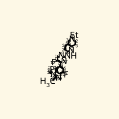 CCN1CCc2nc(Nc3ncc(F)c(-c4cc(F)c5nc(C)n(CC(C)C)c5c4)n3)ccc2C1